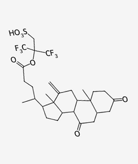 C=C1CC2C(C(=O)CC3CC(=O)CCC32C)C2CCC(C(C)CCC(=O)OC(CS(=O)(=O)O)(C(F)(F)F)C(F)(F)F)C12C